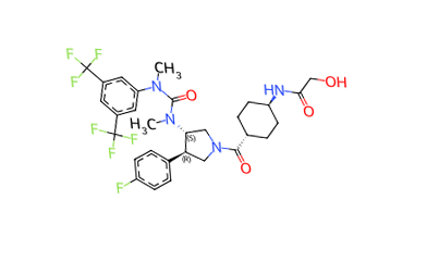 CN(C(=O)N(C)[C@@H]1CN(C(=O)[C@H]2CC[C@H](NC(=O)CO)CC2)C[C@H]1c1ccc(F)cc1)c1cc(C(F)(F)F)cc(C(F)(F)F)c1